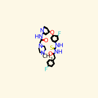 CN1CCN(CC(=O)Nc2cc(Oc3ccc(NC(=S)NC(=O)Cc4ccc(F)cc4)cc3F)ccn2)CC1